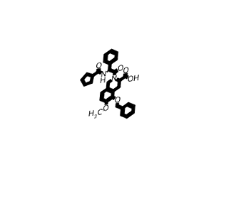 COc1ccc2c(c1OCc1ccccc1)CC(C(=O)O)N(C(=O)[C@H](NC(=O)C1CCCC1)c1ccccc1)C2